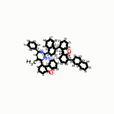 CC1=C(c2cccc3oc4ccccc4c23)NC(c2ccc(-c3cccc4oc5c(-c6ccc7ccccc7c6)cccc5c34)c3ccccc23)N=C(c2ccccc2)C1